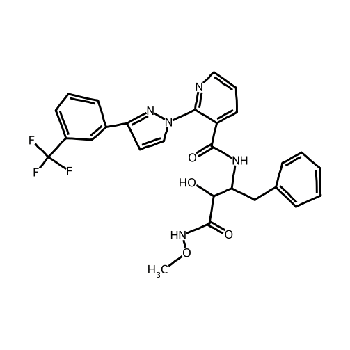 CONC(=O)C(O)C(Cc1ccccc1)NC(=O)c1cccnc1-n1ccc(-c2cccc(C(F)(F)F)c2)n1